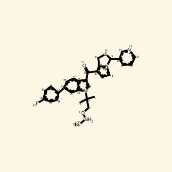 CC(C)(C)[SiH2]OCC(C)(C)n1cc(C(=O)c2ccn3c2CSC3c2cccnc2)c2ccc(-c3ccc(F)cc3)cc21